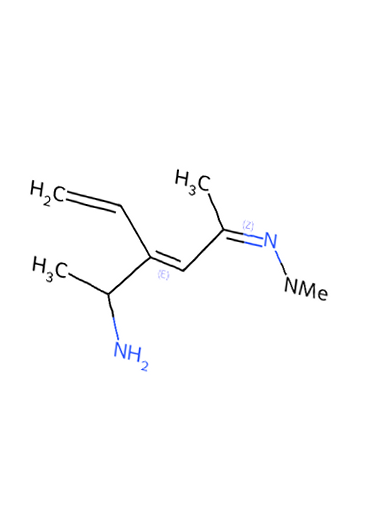 C=C/C(=C\C(C)=N/NC)C(C)N